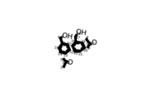 CC(C)=O.CC(C)=O.OCc1ccccc1.OCc1ccccc1